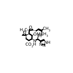 CO[C@@H]1[C@H](N(C(=O)O)[C@H](c2c[nH]nn2)C(C)C)CC[C@]2(CO2)[C@H]1[C@@]1(C)O[C@@H]1CC=C(C)C